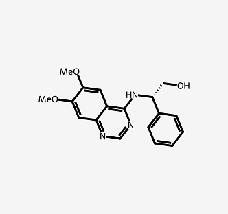 COc1cc2ncnc(N[C@H](CO)c3ccccc3)c2cc1OC